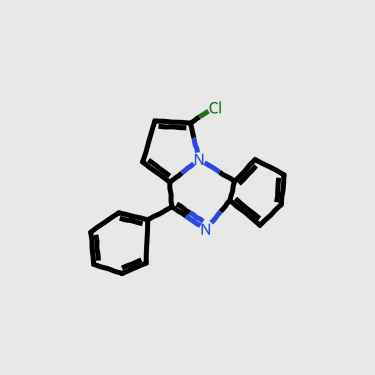 Clc1ccc2c(-c3ccccc3)nc3ccccc3n12